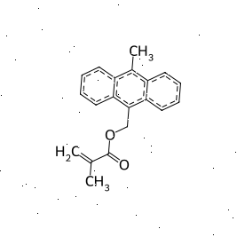 C=C(C)C(=O)OCc1c2ccccc2c(C)c2ccccc12